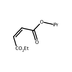 CCOC(=O)/C=C\C(=O)OC(C)C